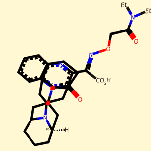 CCN(CC)C(=O)CON=C(C(=O)O)c1nc2ccccc2n(C2CC3CCC[C@H](C2)N3C2CC3CCCC(C3)C2)c1=O